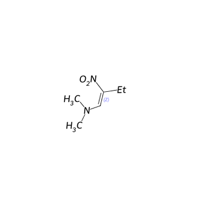 CC/C(=C/N(C)C)[N+](=O)[O-]